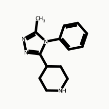 Cc1nnc(C2CCNCC2)n1-c1ccccc1